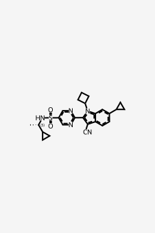 C[C@H](NS(=O)(=O)c1cnc(-c2c(C#N)c3ccc(C4CC4)cc3n2C2CCC2)nc1)C1CC1